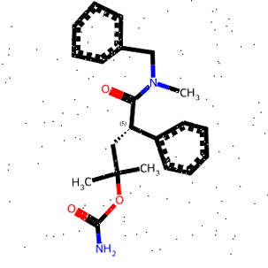 CN(Cc1ccccc1)C(=O)[C@@H](CC(C)(C)OC(N)=O)c1ccccc1